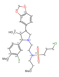 COCCN(CCN1CC(c2ccc3c(c2)OCO3)C(C(=O)O)C1c1ccc(OC)c(F)c1)S(=O)(=O)CCCCl